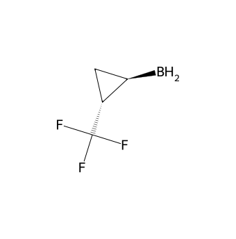 B[C@@H]1C[C@H]1C(F)(F)F